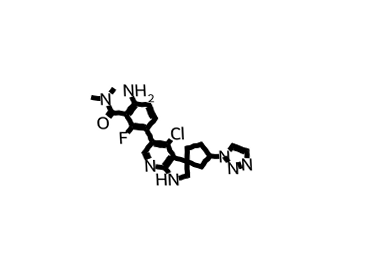 CN(C)C(=O)c1c(N)ccc(-c2cnc3c(c2Cl)C2(CCC(n4ccnn4)C2)CN3)c1F